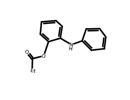 CCC(=O)Oc1ccccc1Nc1ccccc1